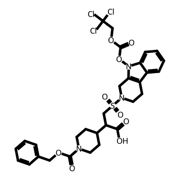 O=C(OCC(Cl)(Cl)Cl)On1c2c(c3ccccc31)CCN(S(=O)(=O)CC(C(=O)O)C1CCN(C(=O)OCc3ccccc3)CC1)C2